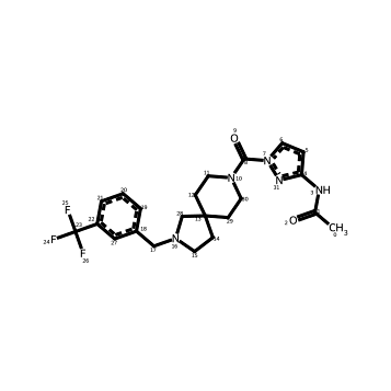 CC(=O)Nc1ccn(C(=O)N2CCC3(CCN(Cc4cccc(C(F)(F)F)c4)C3)CC2)n1